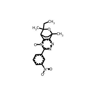 CCC1(C)OC2(C)CCC1c1c2nnc(-c2cccc([N+](=O)[O-])c2)[n+]1[O-]